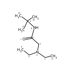 CCN(CC)CC(=O)NC(C)(C)C